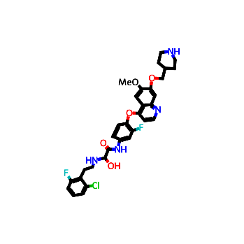 COc1cc2c(Oc3ccc(NC(=O)C(O)NCCc4c(F)cccc4Cl)cc3F)ccnc2cc1OCC1CCNCC1